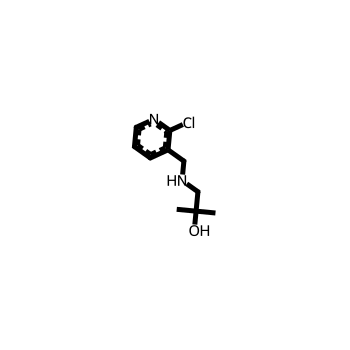 CC(C)(O)CNCc1cccnc1Cl